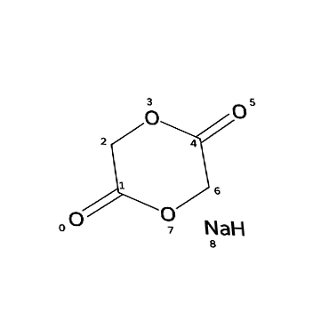 O=C1COC(=O)CO1.[NaH]